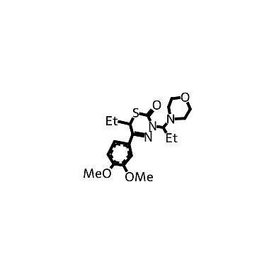 CCC1SC(=O)N(C(CC)N2CCOCC2)N=C1c1ccc(OC)c(OC)c1